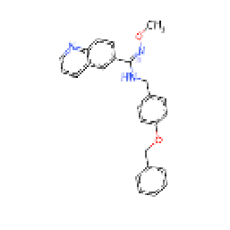 CO/N=C(/NCc1ccc(OCc2ccccc2)cc1)c1ccc2ncccc2c1